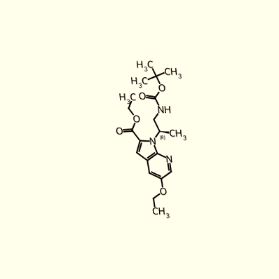 CCOC(=O)c1cc2cc(OCC)cnc2n1[C@H](C)CNC(=O)OC(C)(C)C